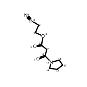 N#[N+]CCOC(=O)CC(=O)N1CCCC1